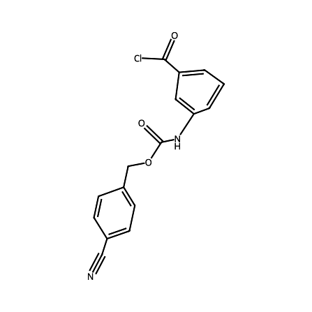 N#Cc1ccc(COC(=O)Nc2cccc(C(=O)Cl)c2)cc1